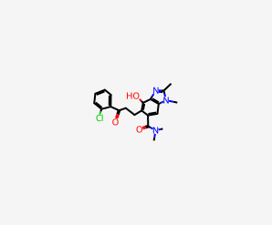 Cc1nc2c(O)c(CCC(=O)c3ccccc3Cl)c(C(=O)N(C)C)cc2n1C